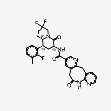 Cc1cccc([C@@H]2C[C@H](NC(=O)c3cnc4c(c3)CC(=O)Nc3ncccc3C4)C(=O)N(CC(F)(F)F)[C@@H]2C)c1F